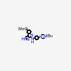 COc1ccc2nc(Nc3ccc(N4CCN(C(C)(C)C)CC4)cc3)c3n[nH]cc3c2c1